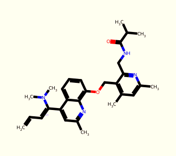 C=C/C=C(/c1cc(C)nc2c(OCc3c(C)cc(C)nc3CNC(=O)C(C)C)cccc12)N(C)C